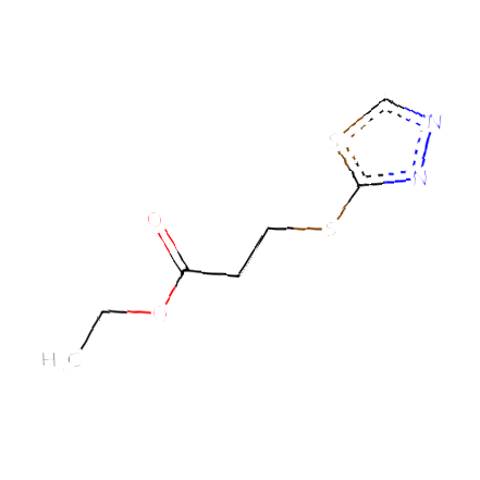 CCOC(=O)CCSc1nn[c]s1